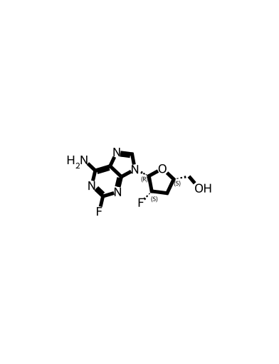 Nc1nc(F)nc2c1ncn2[C@@H]1O[C@H](CO)C[C@@H]1F